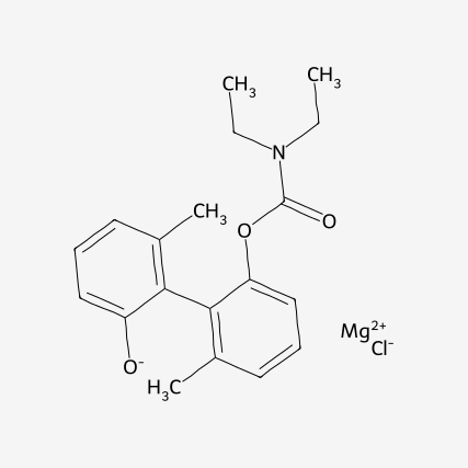 CCN(CC)C(=O)Oc1cccc(C)c1-c1c(C)cccc1[O-].[Cl-].[Mg+2]